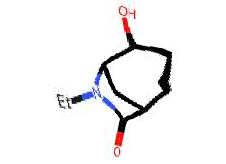 CCN1C(=O)C2CCC(O)C1C2